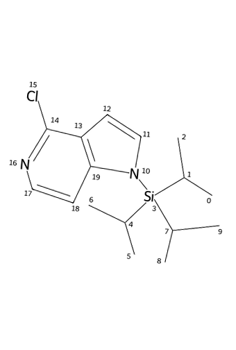 CC(C)[Si](C(C)C)(C(C)C)n1ccc2c(Cl)nccc21